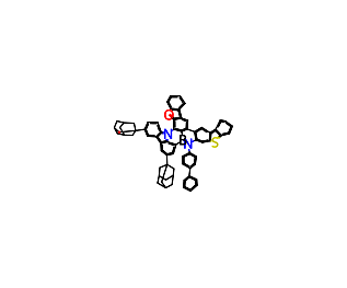 c1ccc(-c2ccc(N3B4c5c(cc6c(oc7ccccc76)c5-n5c6ccc(C78CC9CC(CC(C9)C7)C8)cc6c6cc(C78CC9CC(CC(C9)C7)C8)cc4c65)-c4cc5c(cc43)sc3ccccc35)cc2)cc1